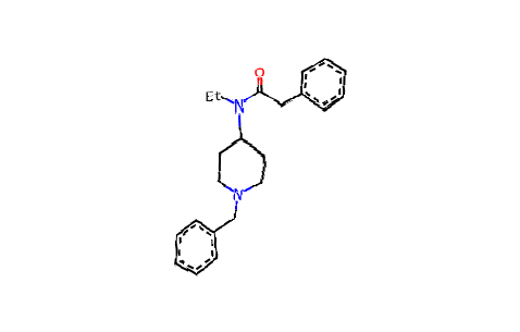 CCN(C(=O)Cc1ccccc1)C1CCN(Cc2ccccc2)CC1